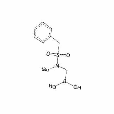 CC(C)(C)N(CB(O)O)S(=O)(=O)Cc1ccccc1